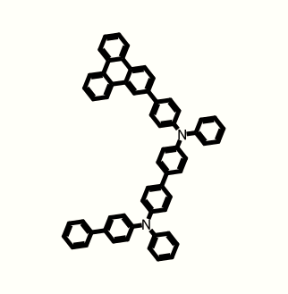 c1ccc(-c2ccc(N(c3ccccc3)c3ccc(-c4ccc(N(c5ccccc5)c5ccc(-c6ccc7c8ccccc8c8ccccc8c7c6)cc5)cc4)cc3)cc2)cc1